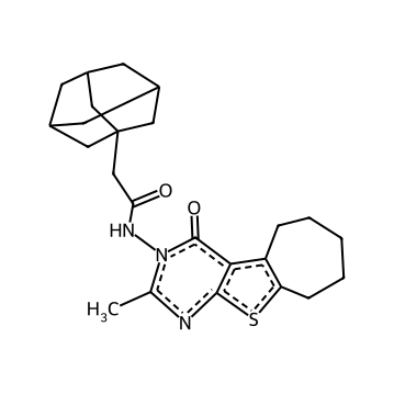 Cc1nc2sc3c(c2c(=O)n1NC(=O)CC12CC4CC(CC(C4)C1)C2)CCCCC3